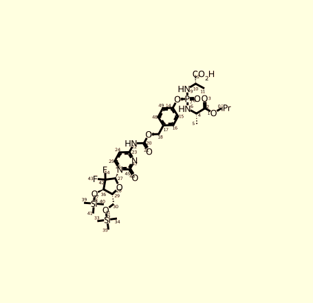 CC(C)OC(=O)[C@H](C)NP(=O)(N[C@@H](C)C(=O)O)Oc1ccc(COC(=O)Nc2ccn([C@@H]3O[C@H](CO[Si](C)(C)C)[C@@H](O[Si](C)(C)C)C3(F)F)c(=O)n2)cc1